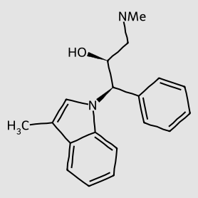 CNC[C@H](O)[C@@H](c1ccccc1)n1cc(C)c2ccccc21